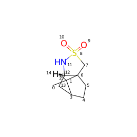 CC1(C)C2CCC13CS(=O)(=O)N[C@H]3C2